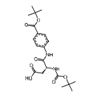 CC(C)(C)OC(=O)N[C@@H](CC(=O)O)C(=O)Nc1ccc(C(=O)OC(C)(C)C)cc1